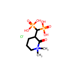 C[N+]1(C)CCCC(C(P(=O)(O)O)P(=O)(O)O)C1=O.[Cl-]